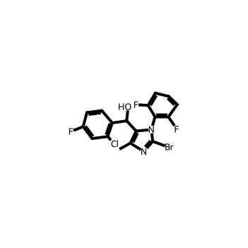 Cc1nc(Br)n(-c2c(F)cccc2F)c1C(O)c1ccc(F)cc1Cl